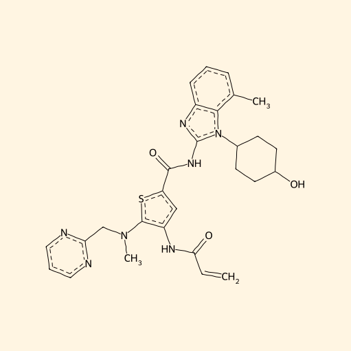 C=CC(=O)Nc1cc(C(=O)Nc2nc3cccc(C)c3n2C2CCC(O)CC2)sc1N(C)Cc1ncccn1